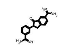 N=C(N)c1cccc(C2Cc3ccc(C(=N)N)cc3C2=O)c1